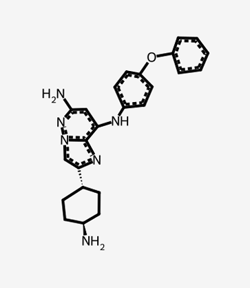 Nc1cc(Nc2ccc(Oc3ccccc3)cc2)c2nc([C@H]3CC[C@H](N)CC3)cn2n1